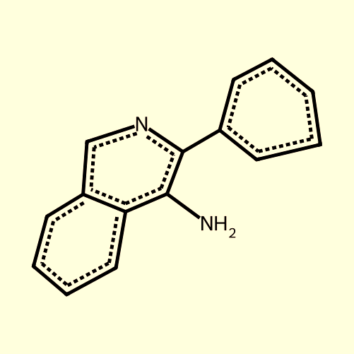 Nc1c(-c2ccccc2)ncc2ccccc12